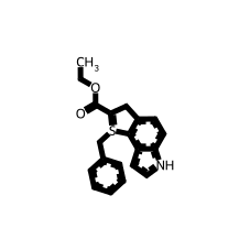 CCOC(=O)C1=S(Cc2ccccc2)c2c(ccc3[nH]ccc23)C1